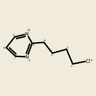 ClCCCCc1ncccn1